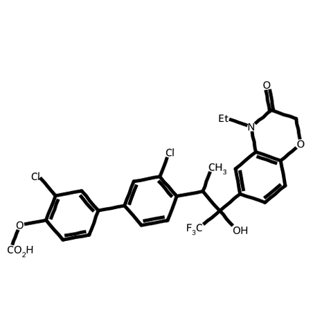 CCN1C(=O)COc2ccc(C(O)(C(C)c3ccc(-c4ccc(OC(=O)O)c(Cl)c4)cc3Cl)C(F)(F)F)cc21